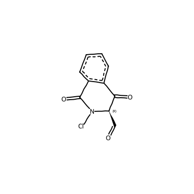 O=C[C@@H]1C(=O)c2ccccc2C(=O)N1Cl